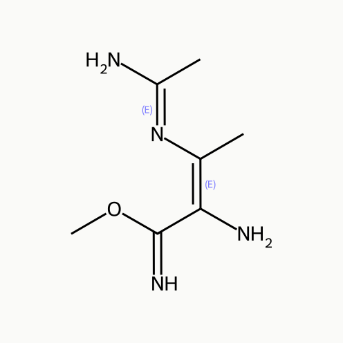 COC(=N)/C(N)=C(C)\N=C(/C)N